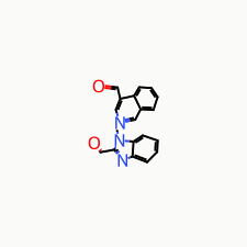 Cn1c(C=O)nc2ccccc21.O=Cc1cncc2ccccc12